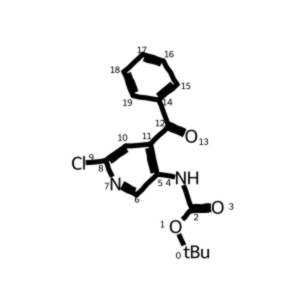 CC(C)(C)OC(=O)Nc1cnc(Cl)cc1C(=O)c1ccccc1